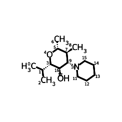 CC(C)[C@@H]1O[C@H](C)[C@@H](C)[C@H](N2CCCCC2)[C@H]1O